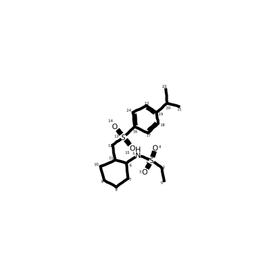 CCS(=O)(=O)NC1CCCCC1CS(=O)(=O)c1ccc(C(C)C)cc1